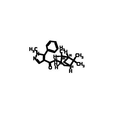 C[C@@H]1[C@H]2C[C@@H](C[C@H]1NC(=O)c1cnn(C)c1-c1ccccc1)C2(C)C